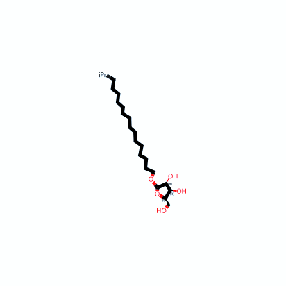 CC(C)CCCCCCCCCCCCCCCOC1O[C@H](CO)[C@H](O)[C@H]1O